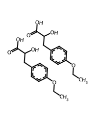 CCOc1ccc(CC(O)C(=O)O)cc1.CCOc1ccc(CC(O)C(=O)O)cc1